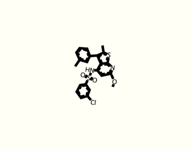 COc1cc(NS(=O)(=O)c2cccc(Cl)c2)c2c(-c3cccc(C)c3)c(C)sc2n1